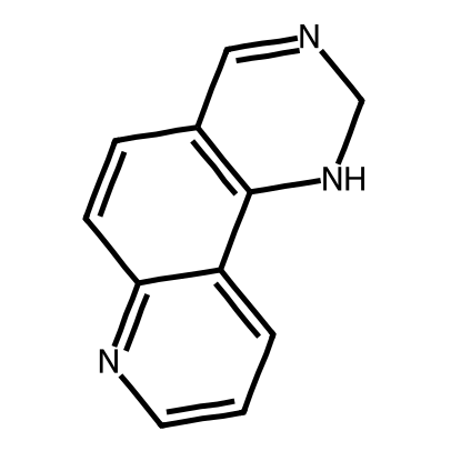 C1=NCNc2c1ccc1ncccc21